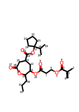 C=C(C)C(=O)OCCC(=O)OC1CC(C(=O)OC2(C(C)C)CCCC2)CC(=O)OC1CCC